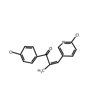 CC(=Cc1ccc(Cl)nc1)C(=O)c1ccc(Cl)cc1